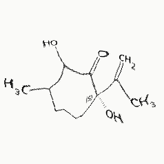 C=C(C)[C@@]1(O)CCC(C)C(O)C1=O